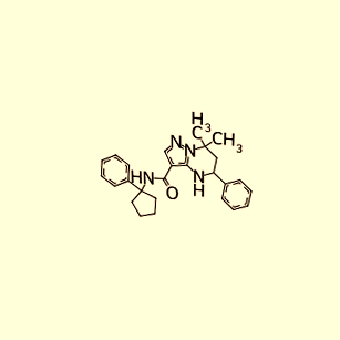 CC1(C)CC(c2ccccc2)Nc2c(C(=O)NC3(c4ccccc4)CCCC3)cnn21